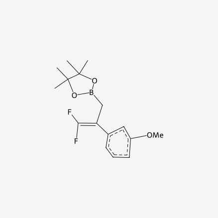 COc1cccc(C(CB2OC(C)(C)C(C)(C)O2)=C(F)F)c1